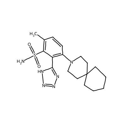 Cc1ccc(N2CCC3(CCCCC3)CC2)c(-c2nnn[nH]2)c1S(N)(=O)=O